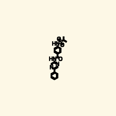 CC(C)S(=O)(=O)Nc1ccc(C(=O)Nc2cnc(-c3ccccc3)cn2)cc1